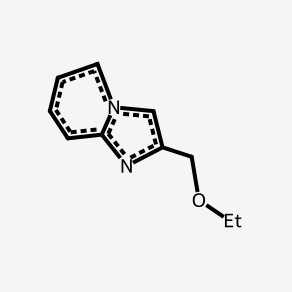 CCOCc1cn2ccccc2n1